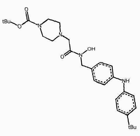 CC(C)(C)OC(=O)N1CCN(CC(=O)N(O)Cc2ccc(Nc3ccc(C(C)(C)C)cc3)cc2)CC1